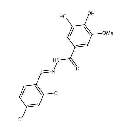 COc1cc(C(=O)N/N=C/c2ccc(Cl)cc2Cl)cc(O)c1O